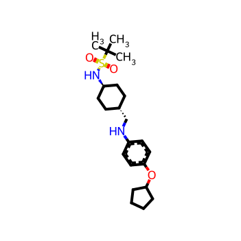 CC(C)(C)S(=O)(=O)N[C@H]1CC[C@H](CNc2ccc(OC3CCCC3)cc2)CC1